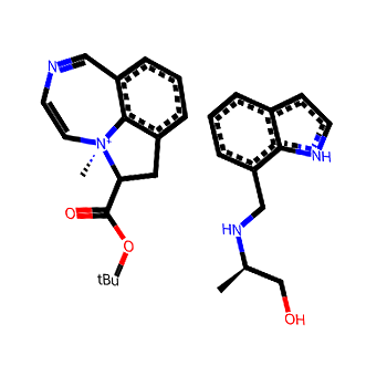 CC(C)(C)OC(=O)C1Cc2cccc3c2[N@+]1(C)C=CN=C3.C[C@H](CO)NCc1cccc2cc[nH]c12